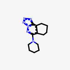 C1CCN(c2nn3nnnc3c3c2CCCC3)CC1